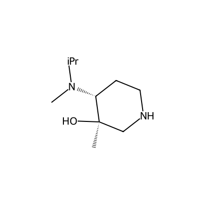 CC(C)N(C)[C@@H]1CCNC[C@@]1(C)O